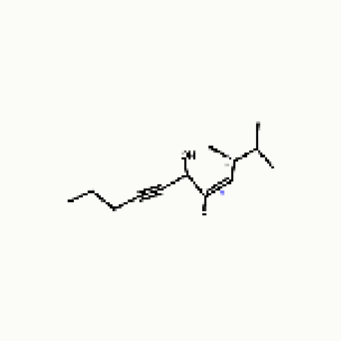 CCCC#CC(O)/C(F)=C\[C@@H](C)C(C)C